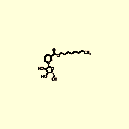 CCCCCCCCOC(=O)C1=CN([C@@H]2O[C@H](CO)C(O)C2O)C=CC1